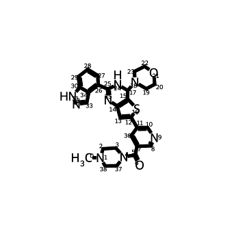 CN1CCN(C(=O)c2cncc(-c3cc4c(s3)C(N3CCOCC3)NC(c3cccc5[nH]ncc35)=N4)c2)CC1